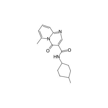 Cc1cccc2ncc(C(=O)NC3CCC(C)CC3)c(=O)n12